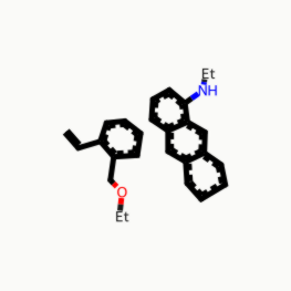 C=Cc1ccccc1COCC.CCNc1cccc2cc3ccccc3cc12